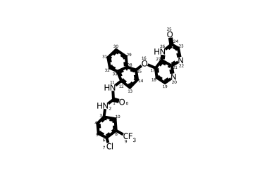 O=C(Nc1ccc(Cl)c(C(F)(F)F)c1)Nc1ccc(Oc2ccnc3ncc(=O)[nH]c23)c2ccccc12